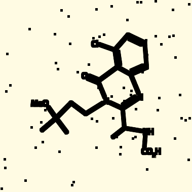 COC(C)(C)CCn1c(C(C)NC(=O)O)nc2cccc(Cl)c2c1=O